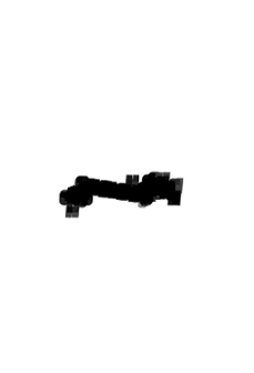 CC1(C)[C@H](Oc2ccc(C#N)c(Cl)c2)C(C)(C)[C@H]1N1Cc2cc(N3CCN(C4CC5(CCN(c6ccc7c(c6)C(=O)N(C6CCC(=O)NC6=O)C7=O)CC5)C4)CC3)ccc2C1=O